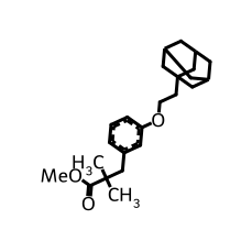 COC(=O)C(C)(C)Cc1cccc(OCCC23CC4CC(CC(C4)C2)C3)c1